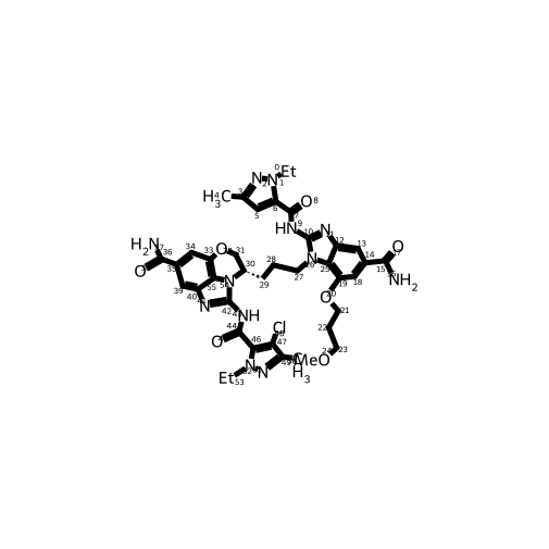 CCn1nc(C)cc1C(=O)Nc1nc2cc(C(N)=O)cc(OCCCOC)c2n1CCC[C@H]1COc2cc(C(N)=O)cc3nc(NC(=O)c4c(Cl)c(C)nn4CC)n1c23